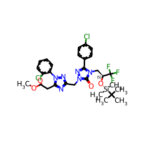 COC(=O)Cc1nc(Cn2nc(-c3ccc(Cl)cc3)n(C[C@H](O[Si](C)(C)C(C)(C)C)C(F)(F)F)c2=O)nn1-c1ccccc1Cl